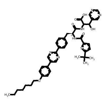 CCCCCCCOc1ccc(-c2cnc(-c3ccc(C[C@H](NC(=O)c4ccc(C(C)(C)C)s4)C(=O)NC(C(=O)O)C(O)c4cncnc4)cc3)nc2)cc1